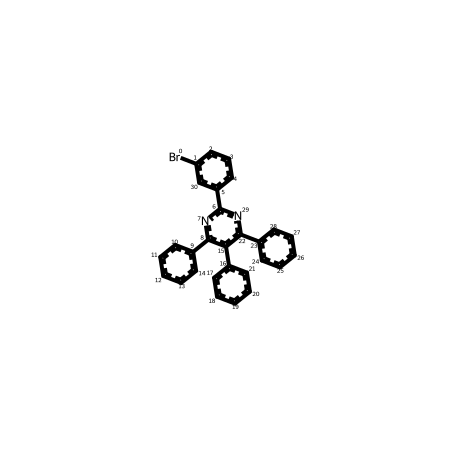 Brc1cccc(-c2nc(-c3ccccc3)c(-c3ccccc3)c(-c3ccccc3)n2)c1